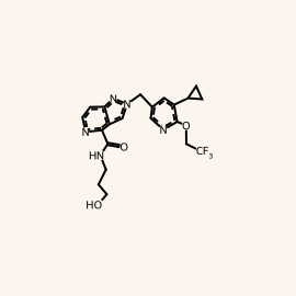 O=C(NCCCO)c1nccc2nn(Cc3cnc(OCC(F)(F)F)c(C4CC4)c3)cc12